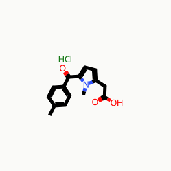 Cc1ccc(C(=O)c2ccc(CC(=O)O)n2C)cc1.Cl